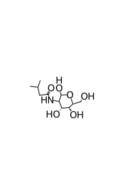 CC(C)CC(=O)NC1C(O)OC(CO)[C@@H](O)[C@@H]1O